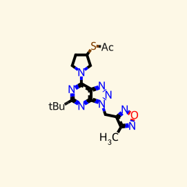 CC(=O)SC1CCN(c2nc(C(C)(C)C)nc3c2nnn3Cc2nonc2C)C1